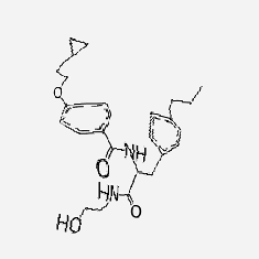 CCCc1ccc(CC(NC(=O)c2ccc(OCCC3CC3)cc2)C(=O)NCCO)cc1